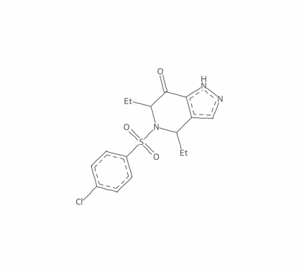 CCC1C(=O)c2[nH]ncc2C(CC)N1S(=O)(=O)c1ccc(Cl)cc1